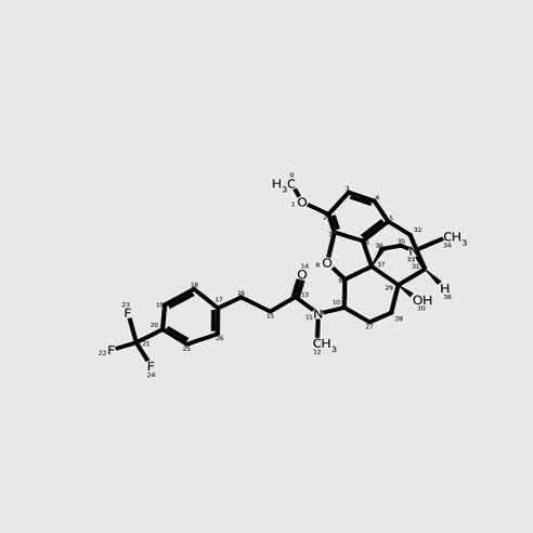 COc1ccc2c3c1OC1C(N(C)C(=O)CCc4ccc(C(F)(F)F)cc4)CC[C@@]4(O)[C@@H](C2)N(C)CC[C@]314